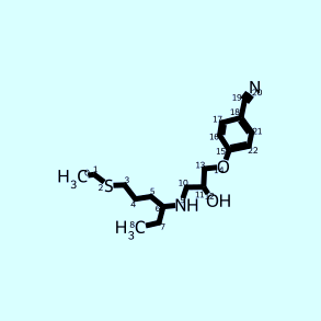 CCSCCCC(CC)NCC(O)COc1ccc(C#N)cc1